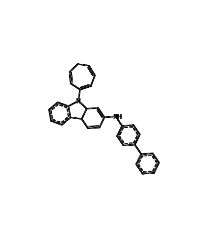 C1=CCC=CC(N2c3ccccc3C3C=CC(Nc4ccc(-c5ccccc5)cc4)=CC32)=C1